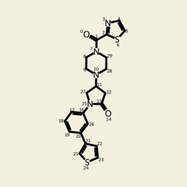 O=C(c1nccs1)N1CCN(C2CC(=O)N(c3cccc(-c4ccsc4)c3)C2)CC1